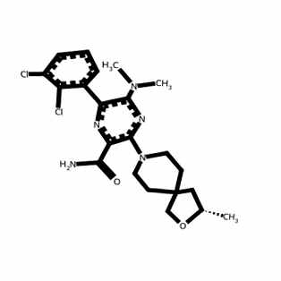 C[C@H]1CC2(CCN(c3nc(N(C)C)c(-c4cccc(Cl)c4Cl)nc3C(N)=O)CC2)CO1